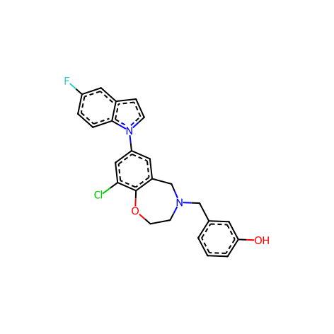 Oc1cccc(CN2CCOc3c(Cl)cc(-n4ccc5cc(F)ccc54)cc3C2)c1